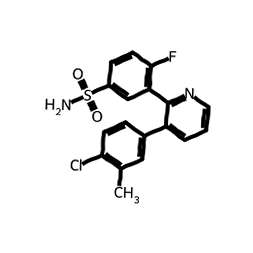 Cc1cc(-c2cccnc2-c2cc(S(N)(=O)=O)ccc2F)ccc1Cl